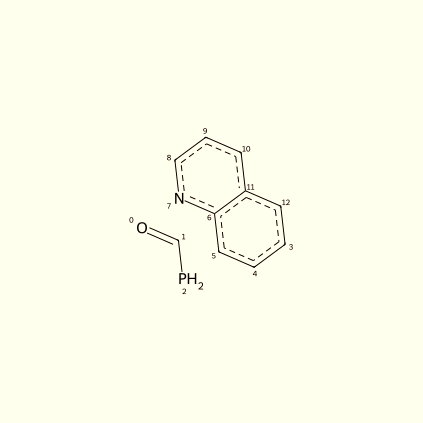 O=CP.c1ccc2ncccc2c1